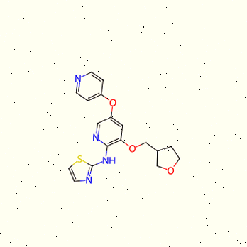 c1cc(Oc2cnc(Nc3nccs3)c(OCC3CCOC3)c2)ccn1